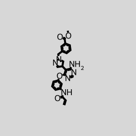 C=CC(=O)Nc1cccc(Oc2ncnc(N)c2C2C=NN(Cc3cccc(C(=O)OC)c3)C2)c1